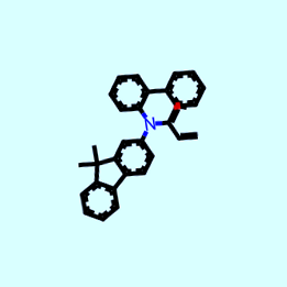 C=C/C(=C\C)N(c1ccc2c(c1)C(C)(C)c1ccccc1-2)c1ccccc1-c1ccccc1